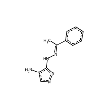 CC(=NNc1nncn1N)c1ccccc1